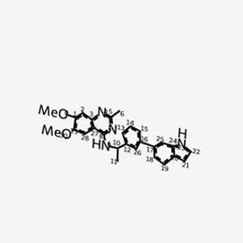 COc1cc2nc(C)nc(NC(C)c3cccc(-c4ccc5cc[nH]c5c4)c3)c2cc1OC